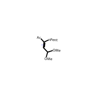 CCCCC/C(=C\C(OC)OC)C(C)=O